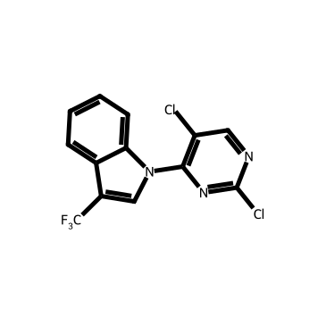 FC(F)(F)c1cn(-c2nc(Cl)ncc2Cl)c2ccccc12